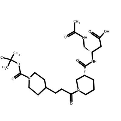 CC(=O)NC[C@H](CC(=O)O)NC(=O)[C@@H]1CCCN(C(=O)CCC2CCN(C(=O)OC(C)(C)C)CC2)C1